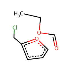 CCOC=O.ClCc1ccco1